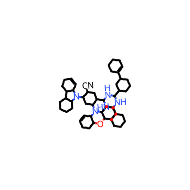 N#CC1CC(C2NC(C3CCCCC3)NC(C3CCCC(C4=CCCCC4)C3)N2)C(N2C3C=CCCC3OC3CCCCC32)CC1N1C2C=CCCC2C2CCCCC21